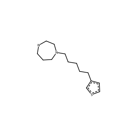 c1cc(CCCCCN2CCC[N]CC2)cs1